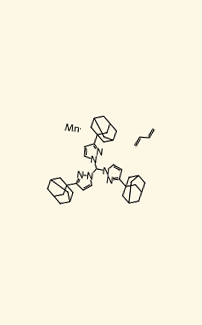 C=CC=C.[Mn].c1cn(C(n2ccc(C34CC5CC(CC(C5)C3)C4)n2)n2ccc(C34CC5CC(CC(C5)C3)C4)n2)nc1C12CC3CC(CC(C3)C1)C2